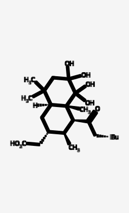 CC[C@@H](C)CC(=O)[C@H]1[C@@H](C)[C@H](CC(=O)O)C[C@H]2C(C)(C)CC(O)(O)C(O)(O)[C@]12C